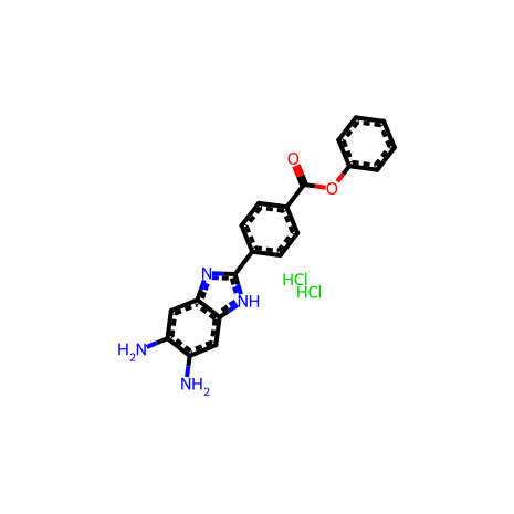 Cl.Cl.Nc1cc2nc(-c3ccc(C(=O)Oc4ccccc4)cc3)[nH]c2cc1N